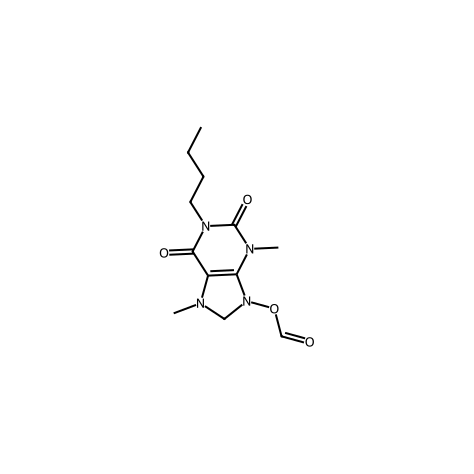 CCCCn1c(=O)c2c(n(C)c1=O)N(OC=O)CN2C